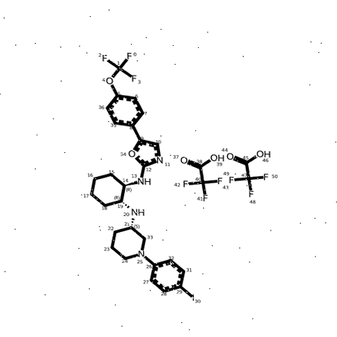 FC(F)(F)Oc1ccc(-c2cnc(N[C@@H]3CCCC[C@H]3N[C@H]3CCCN(c4ccc(I)cc4)C3)o2)cc1.O=C(O)C(F)(F)F.O=C(O)C(F)(F)F